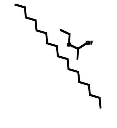 CCCCCCCCCCCCCCCCC.CCOC(C)O